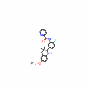 CC1(C)Cc2cc(OC(=O)O)ccc2NC1c1ccc(F)c(NC(=O)c2ccccn2)c1